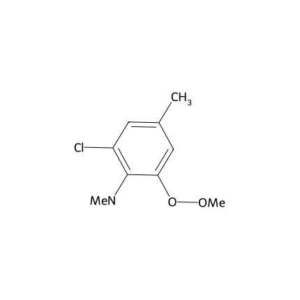 CNc1c(Cl)cc(C)cc1OOC